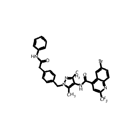 Cc1nn(Cc2ccc(CC(=O)Nc3ccccc3)cc2)c(C)c1NC(=O)c1cc(C(F)(F)F)nc2ccc(Br)cc12